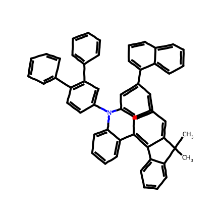 CC1(C)c2ccccc2-c2c(-c3ccccc3N(c3cccc(-c4cccc5ccccc45)c3)c3ccc(-c4ccccc4)c(-c4ccccc4)c3)cccc21